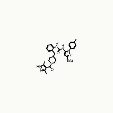 Cc1ccc(-n2nc(C(C)(C)C)cc2NC(=O)Nc2ccccc2CC2CCN(C(=O)c3c(C)n[nH]c3C)CC2)cc1